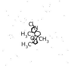 Cc1ccc(C2(C)CCc3nc(Cl)cc(C)c3C2=O)s1